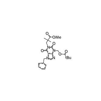 COC(=O)C(C)(C)Cn1c(=O)c2c(ncn2Cc2ccccc2)n(COC(=O)C(C)(C)C)c1=O